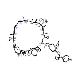 C=C1[C@H](C)C[C@H](C)/C=C/C=C/C=C(\C)[C@@H](OC)C[C@@H]2CC[C@@H](C)[C@@](O)(O2)C(=O)C(=O)N2CCCC[C@H]2C(=O)O[C@H]([C@H](C)C[C@@H]2CC[C@@H](OC(=O)N3CCN(C)CC3)[C@H](OC)C2)CC(=O)[C@H](C)/C=C(\C)[C@@H](O)[C@H]1OC